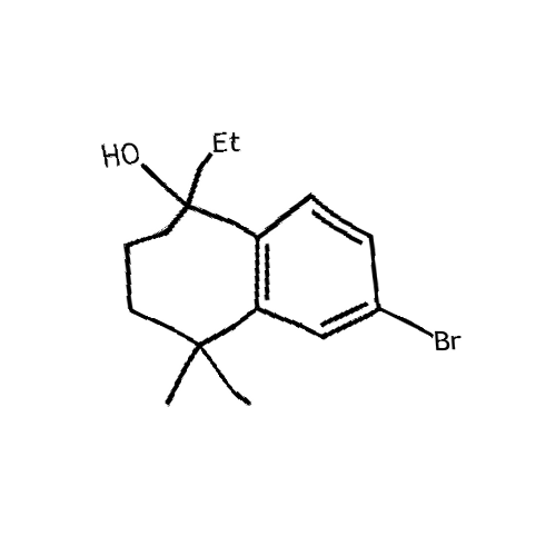 CCC1(O)CCC(C)(C)c2cc(Br)ccc21